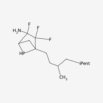 CCCC(C)CC(C)CCC12CC(P1)C(N)(F)C2(F)F